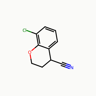 N#CC1CCOc2c(Cl)cccc21